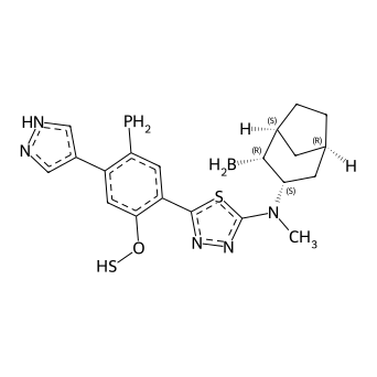 B[C@@H]1[C@H]2CC[C@H](C2)C[C@@H]1N(C)c1nnc(-c2cc(P)c(-c3cn[nH]c3)cc2OS)s1